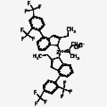 CCC1=Cc2c(-c3ccc(C(F)(F)F)cc3C(F)(F)F)cccc2[CH]1[Zr+2]([CH]1C(CC)=Cc2c(-c3ccc(C(F)(F)F)cc3C(F)(F)F)cccc21)=[Si](C)C.[Cl-].[Cl-]